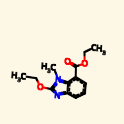 CCOC(=O)c1cccc2nc(OCC)n(C)c12